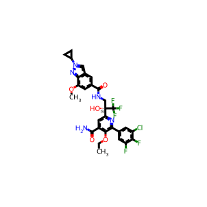 CCOc1c(C(N)=O)cc([C@@](O)(CNC(=O)c2cc(OC)c3nn(C4CC4)cc3c2)C(F)(F)F)nc1-c1cc(F)c(F)c(Cl)c1